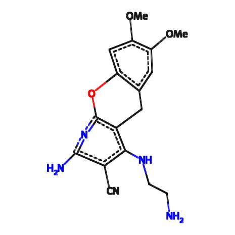 COc1cc2c(cc1OC)Oc1nc(N)c(C#N)c(NCCN)c1C2